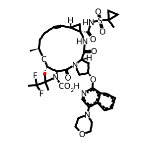 C[C@H]1CC/C=C\[C@@H]2C[C@@]2(C(=O)NS(=O)(=O)C2(C)CC2)NC(=O)[C@@H]2C[C@@H](Oc3ncc(N4CCOCC4)c4ccccc34)CN2C(=O)[C@@H](N(C(=O)O)C(C)(C)C(C)(F)F)[C@H](C)C1